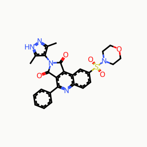 Cc1n[nH]c(C)c1N1C(=O)c2c(-c3ccccc3)nc3ccc(S(=O)(=O)N4CCOCC4)cc3c2C1=O